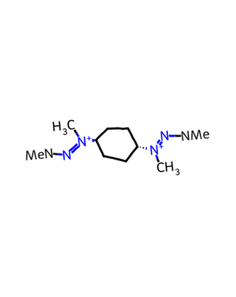 CNN=[N+](C)[C@H]1CC[C@H]([N+](C)=NNC)CC1